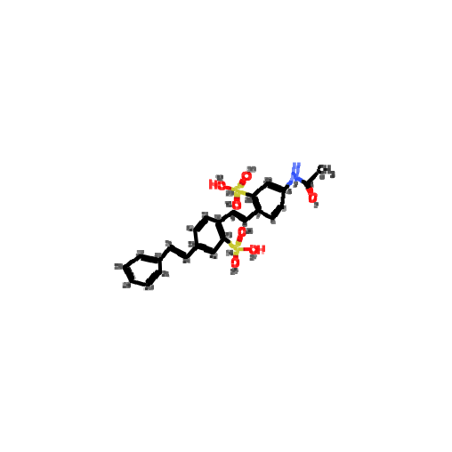 CC(=O)Nc1ccc(/C=C/c2ccc(/C=C/c3ccccc3)cc2S(=O)(=O)O)c(S(=O)(=O)O)c1